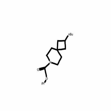 CCCCC1CC2(CCN(C(=O)OC(C)C)CC2)C1